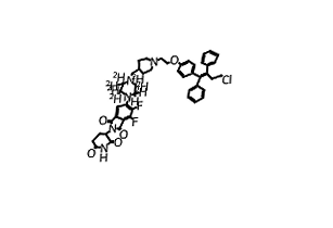 [2H]C1([2H])N(CC2CCN(CCOc3ccc(C(=C(CCCl)c4ccccc4)c4ccccc4)cc3)CC2)C([2H])([2H])C([2H])([2H])N(c2cc3c(c(F)c2F)C(=O)N(C2CCC(=O)NC2=O)C3=O)C1([2H])[2H]